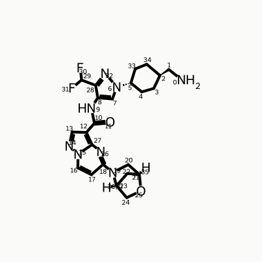 NC[C@H]1CC[C@H](n2cc(NC(=O)c3cnn4ccc(N5C[C@H]6C[C@@H]5CO6)nc34)c(C(F)F)n2)CC1